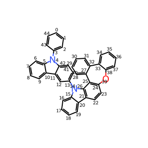 c1ccc(-n2c3ccccc3c3cc(-n4c5ccccc5c5ccc6c(c54)-c4ccccc4-c4ccccc4O6)ccc32)cc1